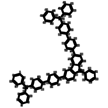 c1ccc(N(c2ccccc2)c2ccc(-c3ccc(-c4ccc5c(c4)c4cc(-c6ccc(-c7ccc(N(c8ccccc8)c8ccccc8)cc7)cc6)ccc4n5-c4ccccc4)cc3)cc2)cc1